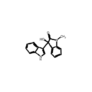 CN1C(=O)C(O)(c2c[nH]c3ccccc23)c2ccccc21